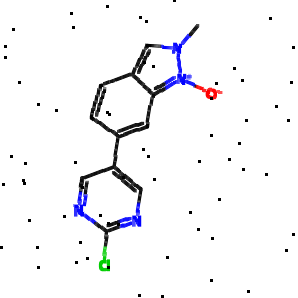 Cn1cc2ccc(-c3cnc(Cl)nc3)cc2[n+]1[O-]